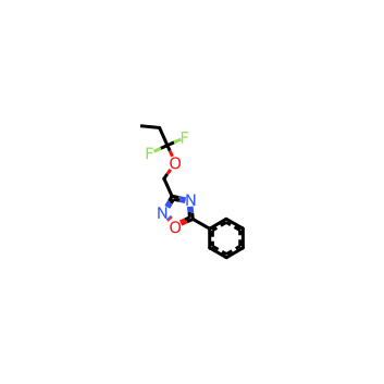 CCC(F)(F)OCc1noc(-c2ccccc2)n1